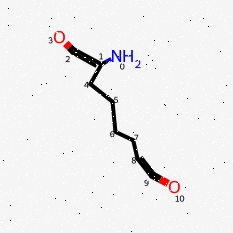 NC(=C=O)CCCCC=C=O